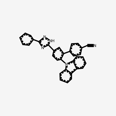 N#Cc1ccc(-c2cc(-c3nc(-c4ccccc4)n[nH]3)ccc2-n2c3ccccc3c3ccccc32)cc1